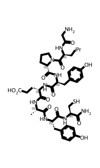 CC(C)C[C@H](NC(=O)CN)C(=O)N1CCC[C@H]1C(=O)N[C@@H](Cc1ccc(O)cc1)C(=O)N[C@@H](CCC(=O)O)C(=O)N[C@@H](C)C(=O)N[C@@H](Cc1ccc(O)cc1)C(=O)N[C@@H](CS)C(N)=O